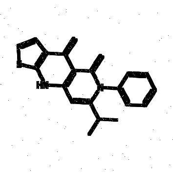 C=C1C2=C(C=C(C(C)C)N(c3ccccc3)C2=C)Nc2sccc21